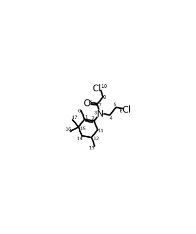 CC1=C(N(CCCl)C(=O)CCl)CC(C)CC1(C)C